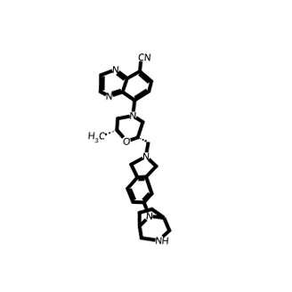 C[C@@H]1CN(c2ccc(C#N)c3nccnc23)C[C@H](CN2Cc3ccc(N4C5CCC4CNC5)cc3C2)O1